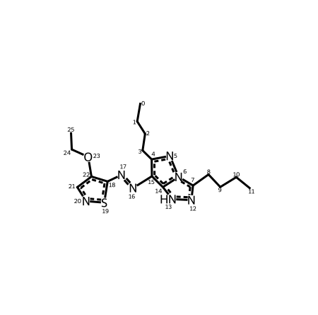 CCCCc1nn2c(CCCC)n[nH]c2c1N=Nc1sncc1OCC